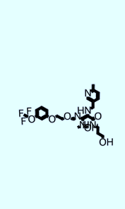 Cc1ccc(CN/C(C(=O)NCCCO)=C(\N=C\OCCOc2cccc(OC(F)(F)F)c2)N(C)O)cn1